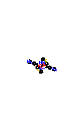 CC(c1ccc(N2CCN(C)CC2)cc1)c1ccc2c(c1OC(=O)C(=O)Oc1c(C(C)c3ccc(N4CCN(C)CC4)cc3)ccc3c1Nc1ccccc1S3)Nc1ccccc1S2